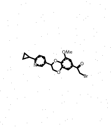 COc1cc(C(=O)CBr)cc2c1OC(c1ccc(C3CC3)nc1)CO2